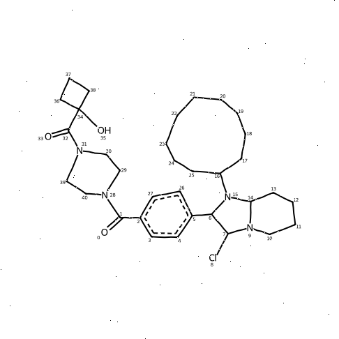 O=C(c1ccc(C2C(Cl)N3CCCCC3N2C2CCCCCCCCC2)cc1)N1CCN(C(=O)C2(O)CCC2)CC1